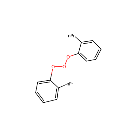 CCCc1ccccc1OOOc1ccccc1CCC